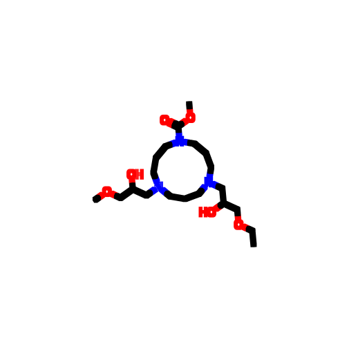 CCOCC(O)CN1CCCN(CC(O)COC)CCCN(C(=O)OC)CCC1